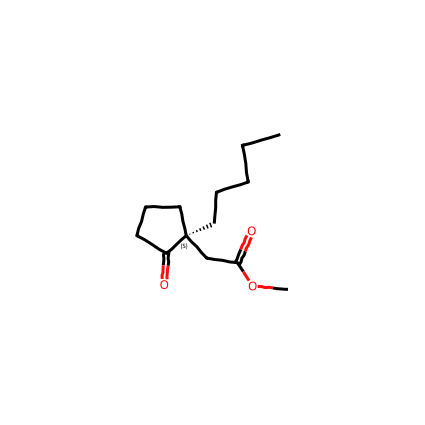 CCCCC[C@@]1(CC(=O)OC)CCCC1=O